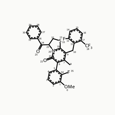 COc1cccc(-c2c(C)c(Cc3c(F)cccc3C(F)(F)F)c3n(c2=O)C(C(=O)c2ccccc2)CS3)c1F